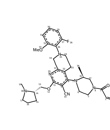 C=CC(=O)N1CCN(c2c(C#N)c(OC[C@@H]3CCCN3C)nc3c2CCN(c2c(F)cccc2OC)C3)[C@@H](C)C1